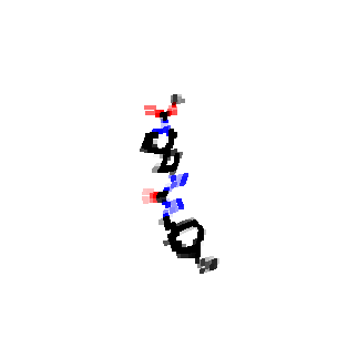 COc1ccc(CNC(=O)N[C@H]2C[C@@]3(CCN(C(=O)OC(C)(C)C)C3)C2)cc1